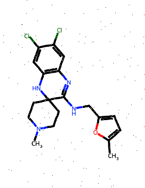 Cc1ccc(CNC2=Nc3cc(Cl)c(Cl)cc3NC23CCN(C)CC3)o1